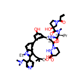 C=CC(=O)N1CCC(O)(C(=O)N(C)[C@H](C(=O)N[C@H]2Cc3cc(O)cc(c3)-c3ccc4c(c3)c(c(-c3ccncc3CN(C)C)n4CC)CC(C)(C)COC(=O)[C@@]3(O)CCCN(N3)C2=O)C(C)C)C1